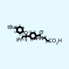 CC(C)CC(I)(Oc1ccc(C(C)(C)C)cc1)c1ccc(C(=O)NCCC(=O)O)cc1